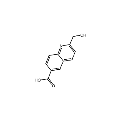 O=C(O)c1ccc2nc(CO)ccc2c1